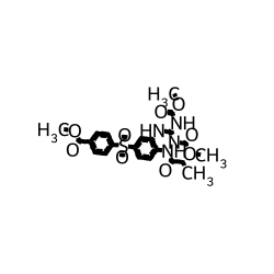 CCC(=O)Nc1ccc(S(=O)(=O)c2ccc(C(=O)OC)cc2)cc1NC(=NC(=O)OC)NC(=O)OC